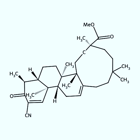 COC(=O)[C@@]1(C)CCC(C)(C)CCC2=CC[C@@H]3[C@@]4(C)C=C(C#N)C(=O)[C@@H](C)[C@@H]4CC[C@@]3(C)[C@]2(C)CC1